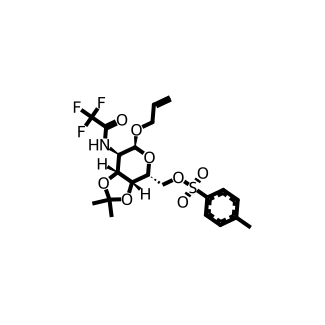 C=CCO[C@H]1O[C@H](COS(=O)(=O)c2ccc(C)cc2)[C@@H]2OC(C)(C)O[C@@H]2[C@H]1NC(=O)C(F)(F)F